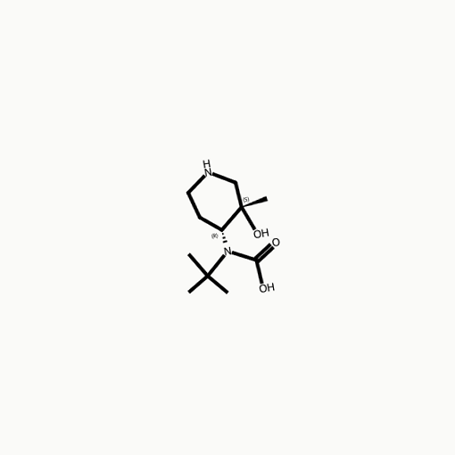 CC(C)(C)N(C(=O)O)[C@@H]1CCNC[C@]1(C)O